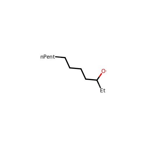 CCCCCCCCCC([O])CC